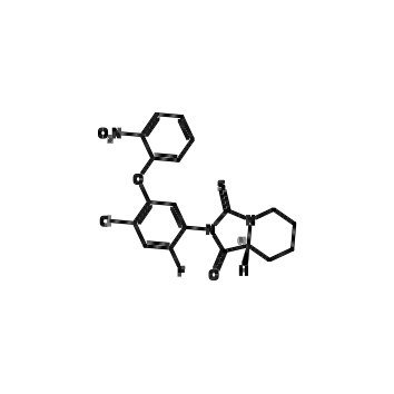 O=C1[C@H]2CCCCN2C(=S)N1c1cc(Oc2ccccc2[N+](=O)[O-])c(Cl)cc1F